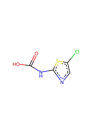 O=C(O)Nc1ncc(Cl)s1